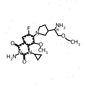 CCOC[C@H](N)C1CCN(c2c(F)cc3c(=O)n(N)c(=O)n(C4CC4)c3c2OC)C1